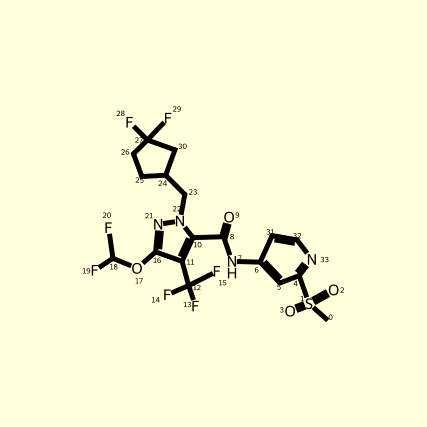 CS(=O)(=O)c1cc(NC(=O)c2c(C(F)(F)F)c(OC(F)F)nn2CC2CCC(F)(F)C2)ccn1